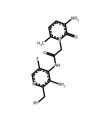 Cc1ccc([N+](=O)[O-])c(=O)n1CC(=O)Nc1c(F)cnc(CC(C)C)c1N